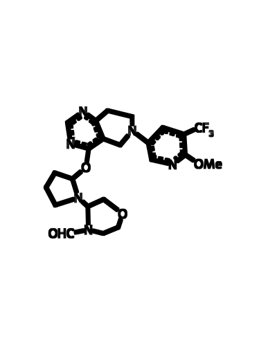 COc1ncc(N2CCc3ncnc(OC4CCCN4C4COCCN4C=O)c3C2)cc1C(F)(F)F